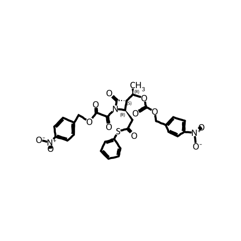 C[C@@H](OC(=O)OCc1ccc([N+](=O)[O-])cc1)[C@H]1C(=O)N(C(=O)C(=O)OCc2ccc([N+](=O)[O-])cc2)[C@@H]1CC(=O)Sc1ccccc1